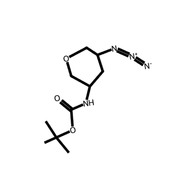 CC(C)(C)OC(=O)NC1COCC(N=[N+]=[N-])C1